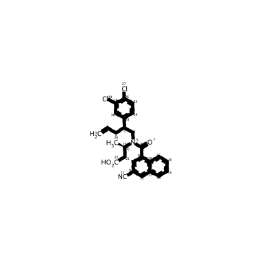 C=CCC(CN(C(=O)c1cc(C#N)cc2ccccc12)[C@H](C)CC(=O)O)c1ccc(Cl)c(Cl)c1